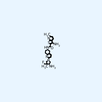 Cc1ccc2c(N)c(C(=O)N[C@H]3CCc4nc(N5C[C@H](N)[C@](C)(CF)C5)ccc4C3)sc2n1